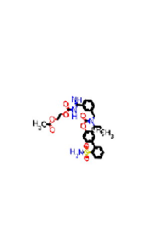 CCC(C)N(Cc1cccc(C(=N)NC(=O)OCCOC(C)=O)c1)C(=O)Oc1ccc(-c2ccccc2S(N)(=O)=O)cc1